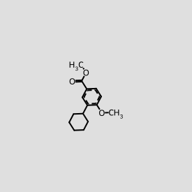 COC(=O)c1ccc(OC)c(C2CCCCC2)c1